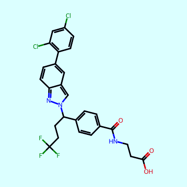 O=C(O)CCNC(=O)c1ccc(C(CCC(F)(F)F)n2cc3cc(-c4ccc(Cl)cc4Cl)ccc3n2)cc1